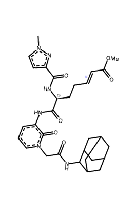 COC(=O)/C=C/CC[C@H](NC(=O)c1ccn(C)n1)C(=O)Nc1cccn(CC(=O)NC2C3CC4CC(C3)CC2C4)c1=O